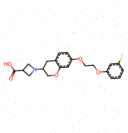 O=C(O)C1CN(C2COc3cc(OCCOc4cccc(F)c4)ccc3C2)C1